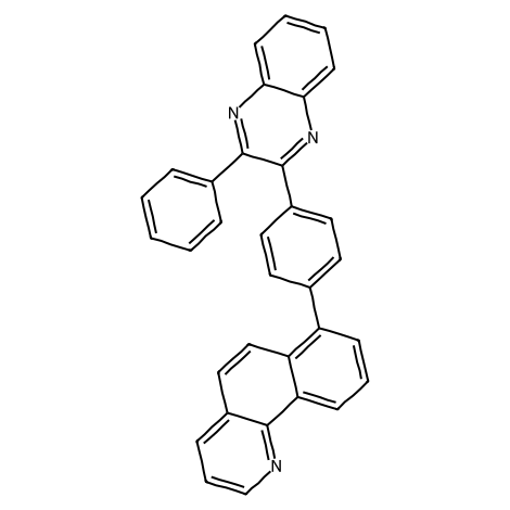 c1ccc(-c2nc3ccccc3nc2-c2ccc(-c3cccc4c3ccc3cccnc34)cc2)cc1